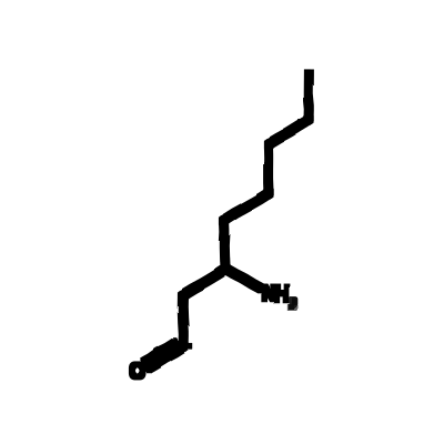 CCCCCC(N)C[C]=O